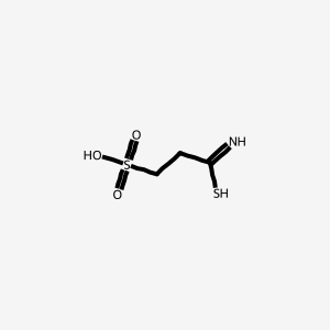 N=C(S)CCS(=O)(=O)O